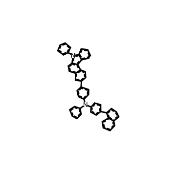 c1ccc(N(c2ccc(-c3ccc4c(ccc5c4c4ccccc4n5-c4ccccc4)c3)cc2)c2ccc(-c3cccc4ccccc34)cc2)cc1